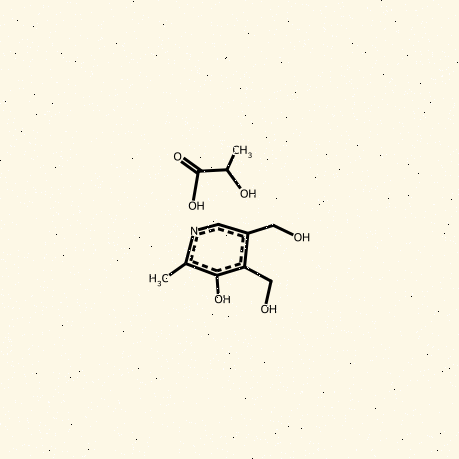 CC(O)C(=O)O.Cc1ncc(CO)c(CO)c1O